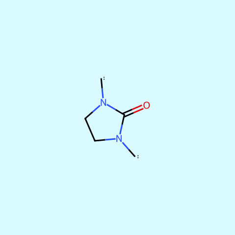 [CH]N1CCN([CH])C1=O